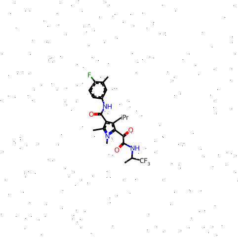 Cc1cc(NC(=O)c2c(C(C)C)c(C(=O)C(=O)NC(C)C(F)(F)F)n(C)c2C)ccc1F